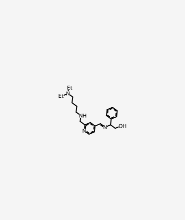 CCN(CC)CCCCNCc1cc(/C=N/C(CO)c2ccccc2)ccn1